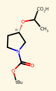 CC(O[C@H]1CCN(C(=O)OC(C)(C)C)C1)C(=O)O